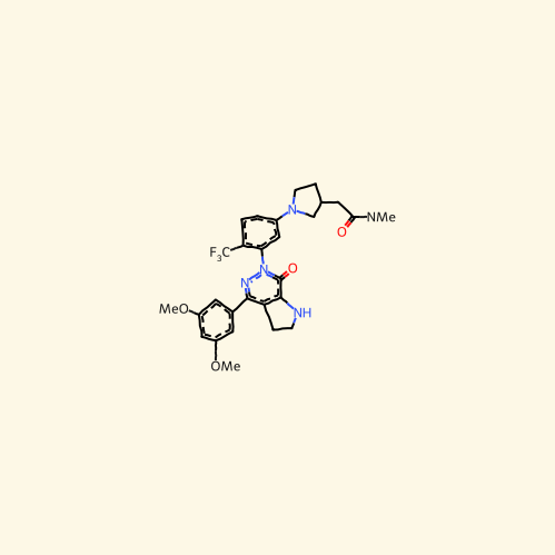 CNC(=O)CC1CCN(c2ccc(C(F)(F)F)c(-n3nc(-c4cc(OC)cc(OC)c4)c4c(c3=O)NCC4)c2)C1